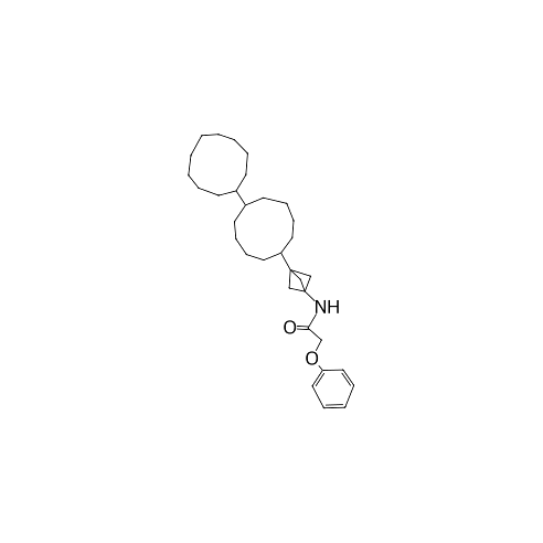 O=C(COc1ccccc1)NC12CC(C3CCCCC(C4CCCCCCCCC4)CCCC3)(C1)C2